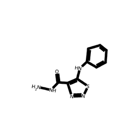 NNC(=O)c1nnsc1Nc1ccccc1